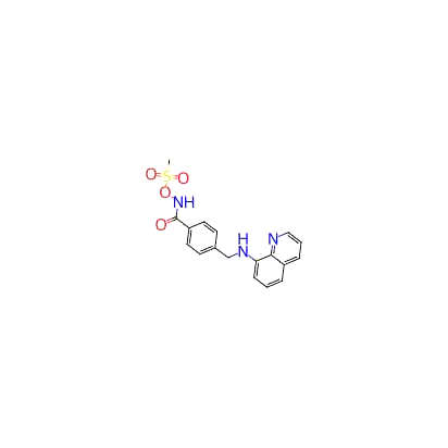 CS(=O)(=O)ONC(=O)c1ccc(CNc2cccc3cccnc23)cc1